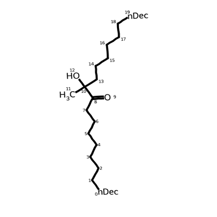 CCCCCCCCCCCCCCCCCC(=O)C(C)(O)CCCCCCCCCCCCCCCC